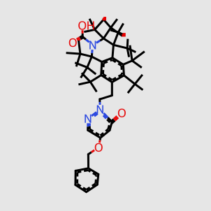 CC(C)(C)c1c(CCn2ncc(OCc3ccccc3)cc2=O)c(C(C)(C)C)c2c(c1C(C)(C)C)C(C(C)(C)C)(C(C)(C)C)C(C(C)(C)C)(C(C)(C)C)N(C(=O)O)C2(C(C)(C)C)C(C)(C)C